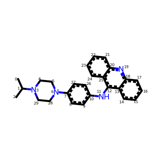 CC(C)N1CCN(c2ccc(Nc3c4ccccc4nc4ccccc34)cc2)CC1